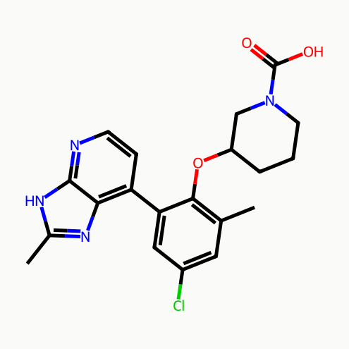 Cc1nc2c(-c3cc(Cl)cc(C)c3OC3CCCN(C(=O)O)C3)ccnc2[nH]1